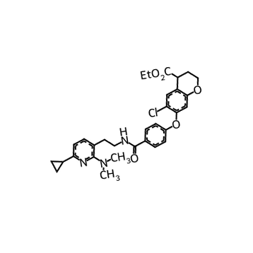 CCOC(=O)C1CCOc2cc(Oc3ccc(C(=O)NCCc4ccc(C5CC5)nc4N(C)C)cc3)c(Cl)cc21